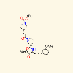 COC(=O)[C@H](CCCc1cccc(OC)c1)NC(=O)[C@@H]1CCCN(C(=O)CCC2CCN(C(=O)OC(C)(C)C)CC2)C1